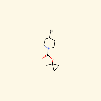 CCC1CCN(C(=O)OC2(C)CC2)CC1